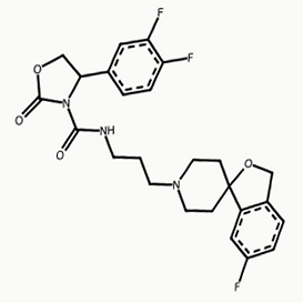 O=C(NCCCN1CCC2(CC1)OCc1ccc(F)cc12)N1C(=O)OCC1c1ccc(F)c(F)c1